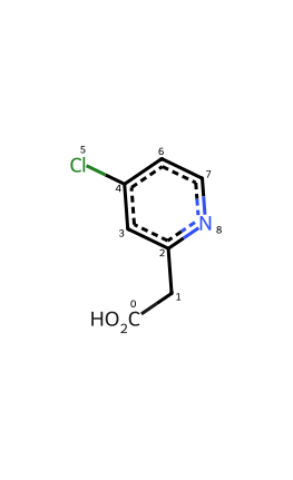 O=C(O)Cc1cc(Cl)ccn1